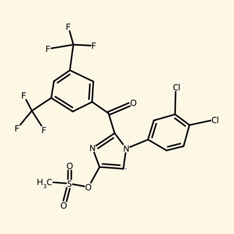 CS(=O)(=O)Oc1[c]n(-c2ccc(Cl)c(Cl)c2)c(C(=O)c2cc(C(F)(F)F)cc(C(F)(F)F)c2)n1